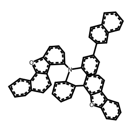 c1cc(-c2ccc3ccccc3c2)cc(N(c2ccccc2-c2cccc3c2oc2ccccc23)c2cccc3oc4c5ccccc5ccc4c23)c1